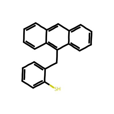 Sc1ccccc1Cc1c2ccccc2cc2ccccc12